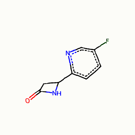 O=C1CC(c2ccc(F)cn2)N1